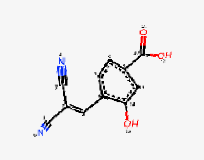 N#CC(C#N)=Cc1ccc(C(=O)O)cc1O